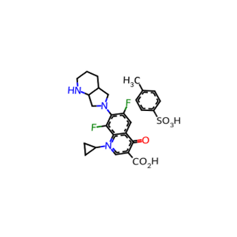 Cc1ccc(S(=O)(=O)O)cc1.O=C(O)c1cn(C2CC2)c2c(F)c(N3CC4CCCNC4C3)c(F)cc2c1=O